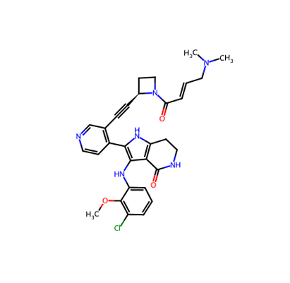 COc1c(Cl)cccc1Nc1c(-c2ccncc2C#C[C@H]2CCN2C(=O)/C=C/CN(C)C)[nH]c2c1C(=O)NCC2